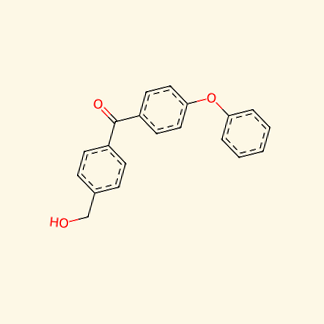 O=C(c1ccc(CO)cc1)c1ccc(Oc2ccccc2)cc1